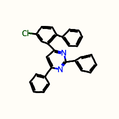 Clc1ccc(-c2ccccc2)c(-c2cc(-c3ccccc3)nc(-c3ccccc3)n2)c1